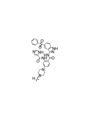 CN1CCN(c2ccc(C(=O)Nc3n[nH]c4ccc(S(=O)(=O)c5ccccc5)cc34)c(NC(=O)c3cnc[nH]3)c2)CC1